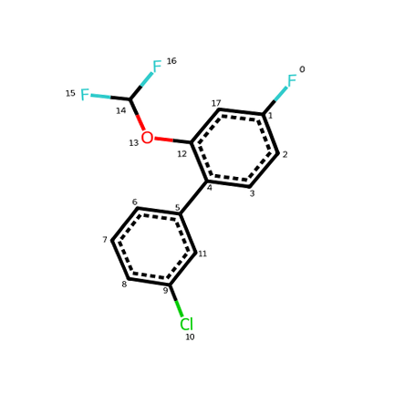 Fc1ccc(-c2cccc(Cl)c2)c(OC(F)F)c1